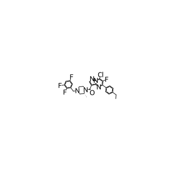 CCc1ccc(-c2nc3c(C(=O)N4CCN(Cc5cc(F)cc(F)c5F)C[C@H]4C)cnn3c(Cl)c2F)cc1